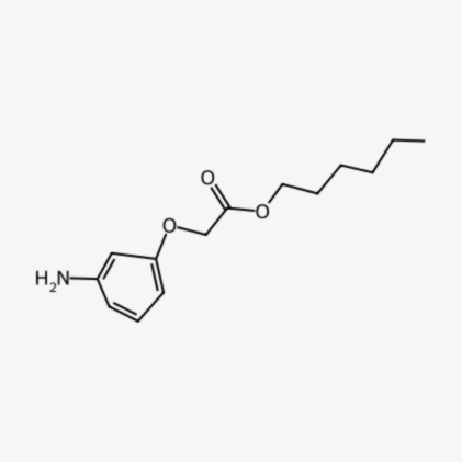 CCCCCCOC(=O)COc1cccc(N)c1